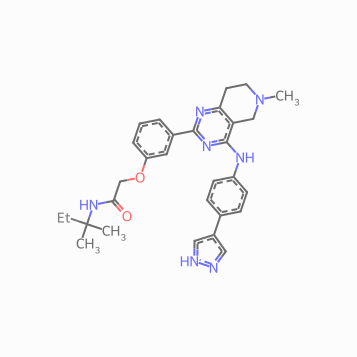 CCC(C)(C)NC(=O)COc1cccc(-c2nc3c(c(Nc4ccc(-c5cn[nH]c5)cc4)n2)CN(C)CC3)c1